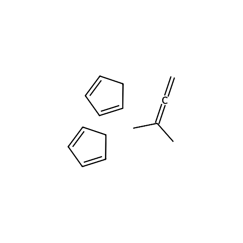 C1=CCC=C1.C1=CCC=C1.C=C=C(C)C